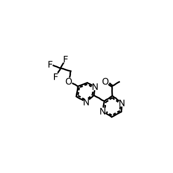 CC(=O)c1nccnc1-c1ncc(OCC(F)(F)F)cn1